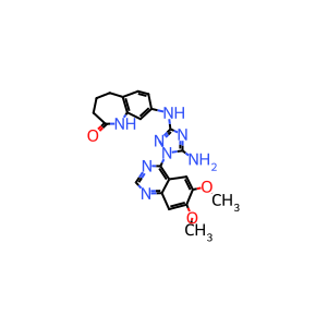 COc1cc2ncnc(-n3nc(Nc4ccc5c(c4)NC(=O)CCC5)nc3N)c2cc1OC